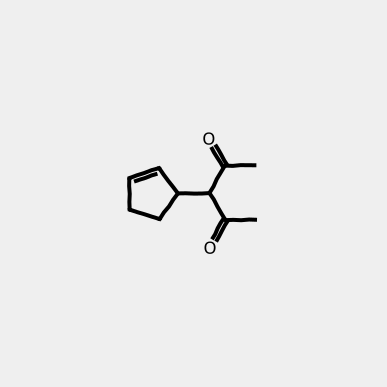 CC(=O)C(C(C)=O)C1C=CCC1